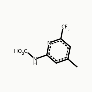 Cc1cc(NC(=O)O)nc(C(F)(F)F)c1